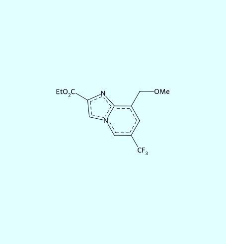 CCOC(=O)c1cn2cc(C(F)(F)F)cc(COC)c2n1